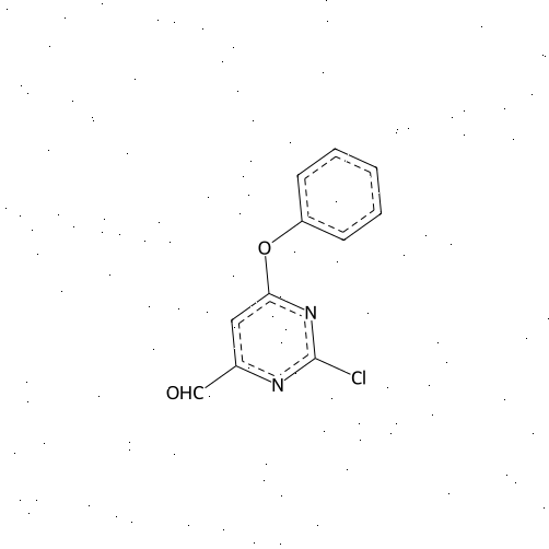 O=Cc1cc(Oc2ccccc2)nc(Cl)n1